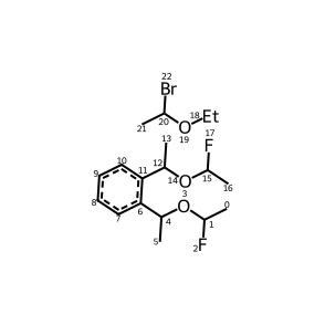 CC(F)OC(C)c1ccccc1C(C)OC(C)F.CCOC(C)Br